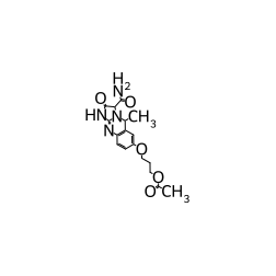 CC(=O)OCCCOc1ccc2c(c1)C(C)N1C(=N2)NC(=O)C1C(N)=O